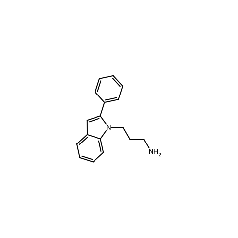 NCCCn1c(-c2ccccc2)cc2ccccc21